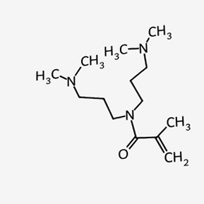 C=C(C)C(=O)N(CCCN(C)C)CCCN(C)C